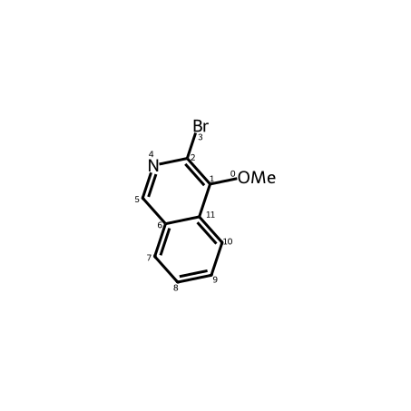 COc1c(Br)ncc2ccccc12